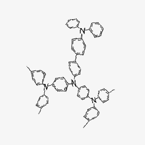 Cc1ccc(N(c2ccc(C)cc2)c2ccc(N(c3ccc(-c4ccc(N(c5ccccc5)c5ccccc5)cc4)cc3)c3ccc(N(c4ccc(C)cc4)c4ccc(C)cc4)cc3)cc2)cc1